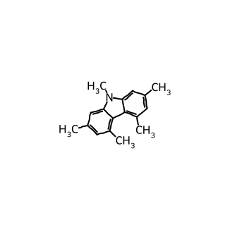 Cc1cc(C)c2c3c(C)cc(C)cc3n(C)c2c1